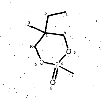 [CH2]C1(CC)COP(C)(=O)OC1